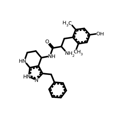 Cc1cc(O)cc(C)c1CC(N)C(=O)NC1CCNc2[nH]nc(Cc3ccccc3)c21